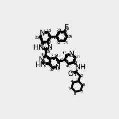 O=C(CC1CCCCC1)Nc1cncc(-c2cc3c(-c4nc5c(-c6cccc(F)c6)cncc5[nH]4)n[nH]c3cn2)c1